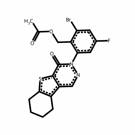 CC(=O)OCc1c(Br)cc(F)cc1-n1ncc2c3c(sc2c1=O)CCCC3